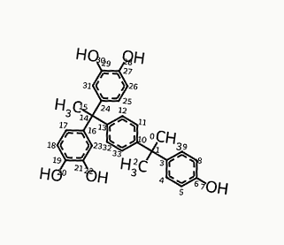 CC(C)(c1ccc(O)cc1)c1ccc(C(C)(c2ccc(O)c(O)c2)c2ccc(O)c(O)c2)cc1